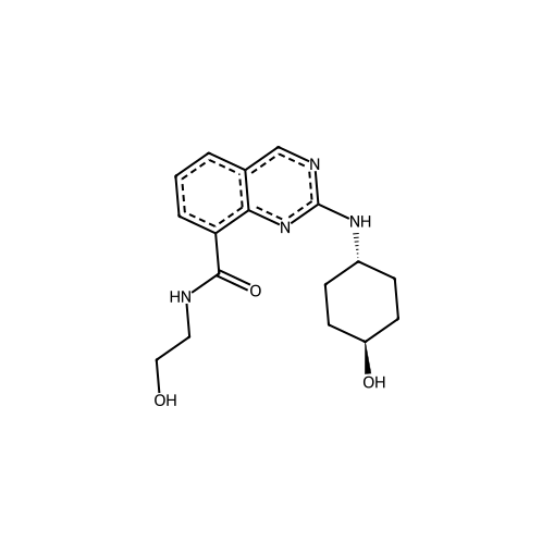 O=C(NCCO)c1cccc2cnc(N[C@H]3CC[C@H](O)CC3)nc12